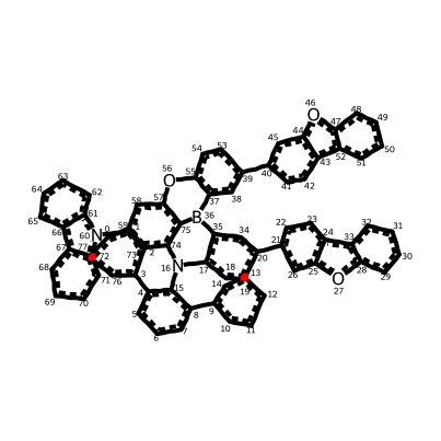 c1ccc(-c2cccc(-c3ccccc3)c2N2c3ccc(-c4ccc5c(c4)oc4ccccc45)cc3B3c4cc(-c5ccc6c(c5)oc5ccccc56)ccc4Oc4cc(-n5c6ccccc6c6ccccc65)cc2c43)cc1